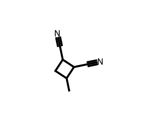 CC1CC(C#N)C1C#N